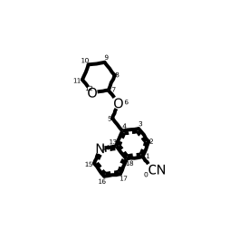 N#Cc1ccc(COC2CCCCO2)c2ncccc12